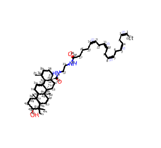 CC/C=C\C/C=C\C/C=C\C/C=C\C/C=C\CCCC(=O)NCCNC(=O)[C@]12CCC[C@H](C)C1C1=CCC3[C@@]4(C)CC[C@H](O)C(C)(C)C4CC[C@@]3(C)[C@]1(C)CC2